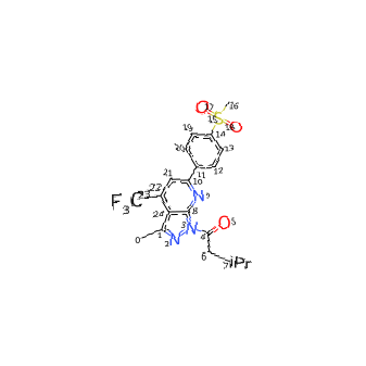 Cc1nn(C(=O)CC(C)C)c2nc(-c3ccc(S(C)(=O)=O)cc3)cc(C(F)(F)F)c12